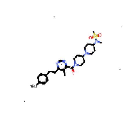 Cc1c(CCc2ccc(C(C)(C)C)cc2)ncnc1C(=O)N1CCC(N2CCC(N(C)S(C)(=O)=O)CC2)CC1